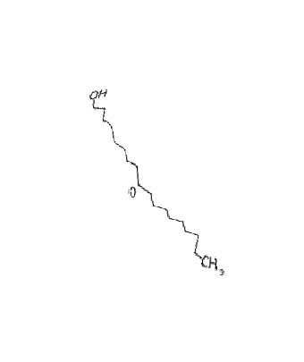 CCCCCCCCCCCCCCCCCCO.[O]